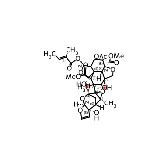 C/C=C(\C)C(=O)O[C@@H]1OC[C@]23C1C[C@@H](OC(C)=O)[C@@]1(C(=O)OC)OC[C@H]([C@H](O)[C@](C)([C@]45O[C@@]4(C)[C@H]4C[C@@H]5O[C@@H]5OC=C[C@@]54O)[C@@]2(O)C(=O)OC)[C@@H]13